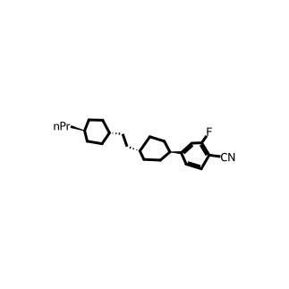 CCC[C@H]1CC[C@H](CC[C@H]2CC[C@H](c3ccc(C#N)c(F)c3)CC2)CC1